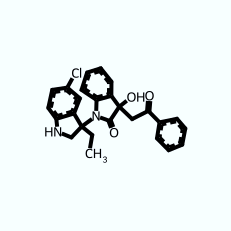 CCC1(N2C(=O)C(O)(CC(=O)c3ccccc3)c3ccccc32)CNc2ccc(Cl)cc21